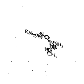 Cn1cc(-c2cnc(N)c(NCc3cccc(-c4ncc(OCCCN5CCOCC5)cn4)c3)n2)cn1